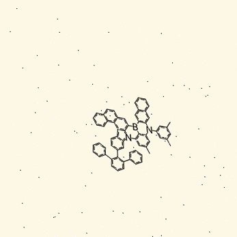 Cc1cc(C)cc(N2c3cc4ccccc4cc3B3c4c2cc(C)cc4-n2c4cc(-c5c(-c6ccccc6)cccc5-c5ccccc5)ccc4c4c5c(ccc6ccccc65)cc3c42)c1